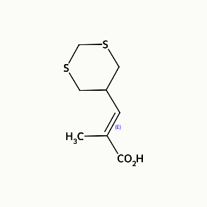 C/C(=C\C1CSCSC1)C(=O)O